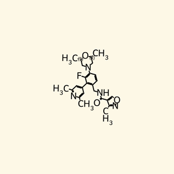 Cc1cc(-c2c(CNC(=O)c3conc3C)ccc(N3C[C@@H](C)O[C@@H](C)C3)c2F)cc(C)n1